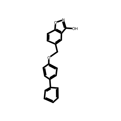 Oc1noc2ccc(COc3ccc(-c4ccccc4)cc3)cc12